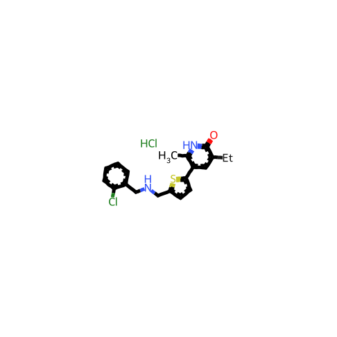 CCc1cc(-c2ccc(CNCc3ccccc3Cl)s2)c(C)[nH]c1=O.Cl